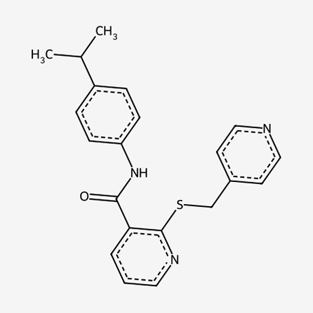 CC(C)c1ccc(NC(=O)c2cccnc2SCc2ccncc2)cc1